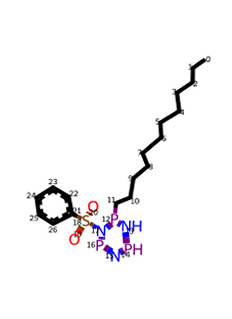 CCCCCCCCCCCCp1[nH][pH]npn1S(=O)(=O)c1ccccc1